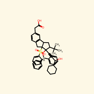 CC(C)(C)C1CC2c3cc(CC(=O)O)ccc3CC2(S(=O)(=O)c2ccccc2)C1(C#CC(O)C1CCCCC1)O[SiH](c1ccccc1)c1ccccc1